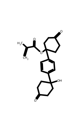 C=C(C)C(=O)OC1(c2ccc(C3(O)CCC(=O)CC3)cc2)CCC(=O)CC1